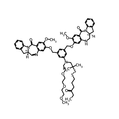 CCC(=O)CCCSSC(C)(C)CN(CCOCCOCCOC)c1cc(COc2cc3c(cc2OC)C(=O)N2c4ccccc4C[C@H]2C=N3)cc(COc2cc3c(cc2OC)C(=O)N2c4ccccc4C[C@H]2CN3)c1